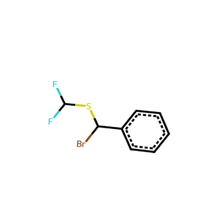 FC(F)SC(Br)c1ccccc1